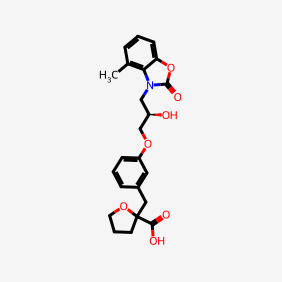 Cc1cccc2oc(=O)n(C[C@@H](O)COc3cccc(CC4(C(=O)O)CCCO4)c3)c12